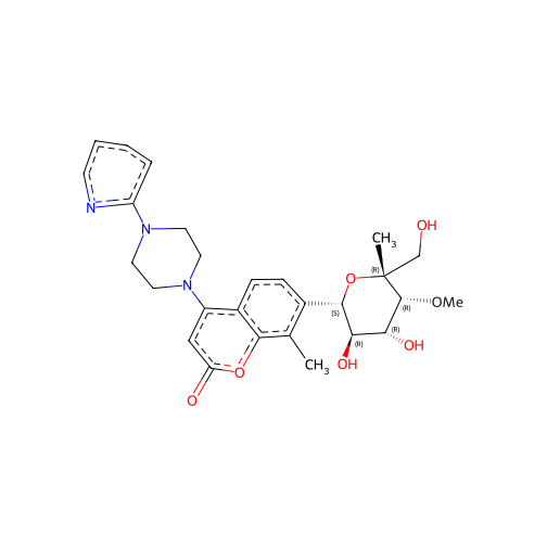 CO[C@@H]1[C@H](O)[C@@H](O)[C@H](c2ccc3c(N4CCN(c5ccccn5)CC4)cc(=O)oc3c2C)O[C@]1(C)CO